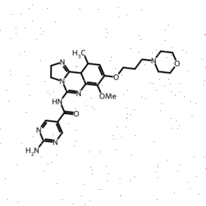 COC1=C2N=C(NC(=O)c3cnc(N)nc3)N3CCN=C3C2C(C)C=C1OCCCN1CCOCC1